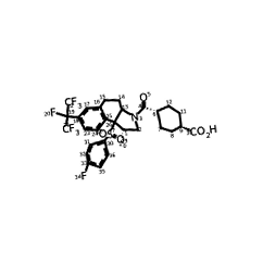 C[C@H]1CN(C(=O)[C@H]2CC[C@H](C(=O)O)CC2)C2CCc3cc(C(F)(C(F)(F)F)C(F)(F)F)ccc3C21S(=O)(=O)c1ccc(F)cc1